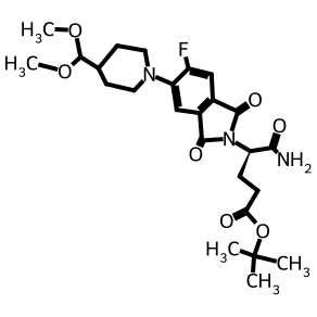 COC(OC)C1CCN(c2cc3c(cc2F)C(=O)N([C@H](CCC(=O)OC(C)(C)C)C(N)=O)C3=O)CC1